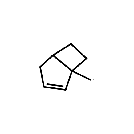 [CH2]C12C=CCC1CC2